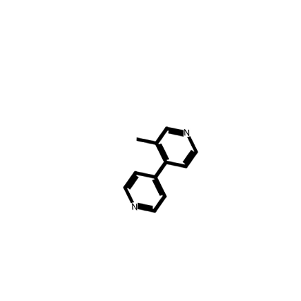 Cc1cnccc1-c1ccncc1